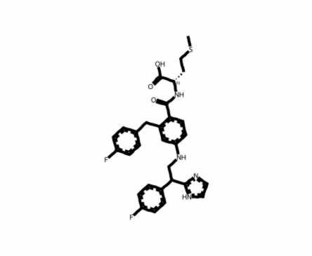 CSCC[C@H](NC(=O)c1ccc(NCC(c2ccc(F)cc2)c2ncc[nH]2)cc1Cc1ccc(F)cc1)C(=O)O